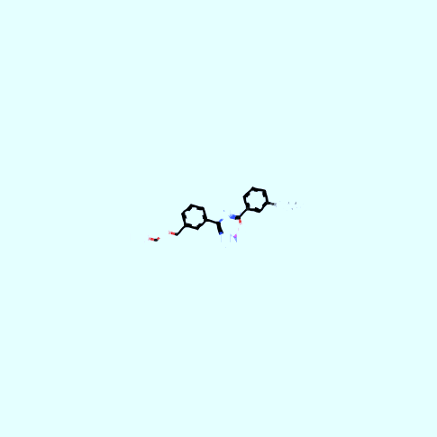 C=C(/N=C(\ON)c1cccc(OC)c1)c1cccc(COCO)c1